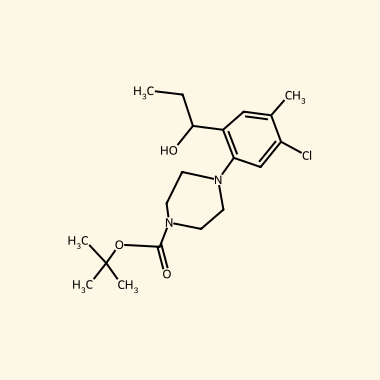 CCC(O)c1cc(C)c(Cl)cc1N1CCN(C(=O)OC(C)(C)C)CC1